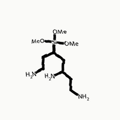 CO[Si](OC)(OC)C(CCN)CC(N)CCN